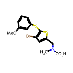 COc1cccc(Sc2sc(CN(C)C(=O)O)cc2Br)c1